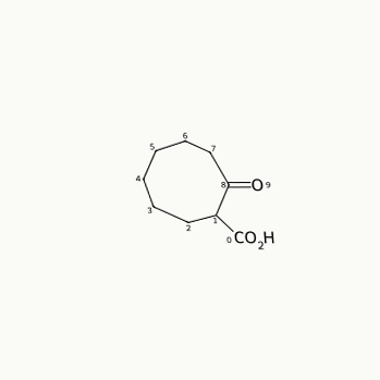 O=C(O)C1CCCCCCC1=O